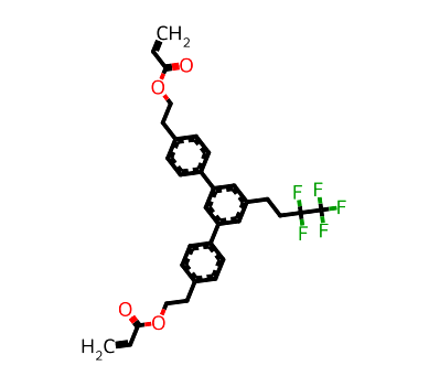 C=CC(=O)OCCc1ccc(-c2cc(CCC(F)(F)C(F)(F)F)cc(-c3ccc(CCOC(=O)C=C)cc3)c2)cc1